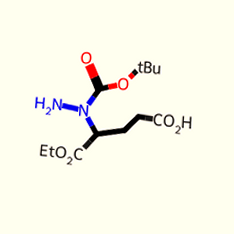 CCOC(=O)C(CCC(=O)O)N(N)C(=O)OC(C)(C)C